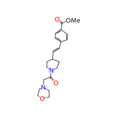 COC(=O)c1ccc(C=CC2CCN(C(=O)CN3CCOCC3)CC2)cc1